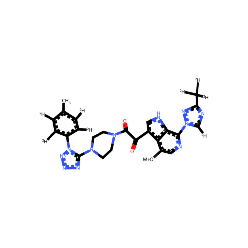 [2H]c1c([2H])c(-n2nnnc2N2CCN(C(=O)C(=O)c3c[nH]c4c(-n5nc(C([2H])([2H])[2H])nc5[2H])ncc(OC)c34)CC2)c([2H])c([2H])c1C